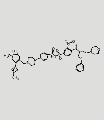 CC1(C)CCC(CN2CCN(c3ccc(C(=O)NS(=O)(=O)c4ccc(N[C@H](CCN5CCOCC5)CSc5ccccc5)c([N+](=O)[O-])c4)cc3)CC2)=C(C23CC(C)(C2)C3)C1